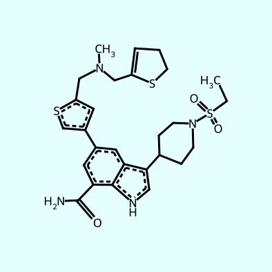 CCS(=O)(=O)N1CCC(c2c[nH]c3c(C(N)=O)cc(-c4csc(CN(C)CC5=CCCS5)c4)cc23)CC1